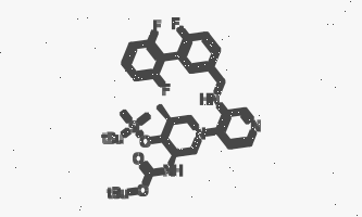 C[C@H]1CN(c2ccncc2NCc2ccc(F)c(-c3c(F)cccc3F)c2)C[C@@H](NC(=O)OC(C)(C)C)C1O[Si](C)(C)C(C)(C)C